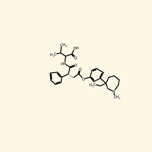 CCC1(c2cccc(OC(=O)C[C@@H](C(=O)NC(C(=O)O)C(C)C)c3ccccc3)c2)CCCCN(C)C1